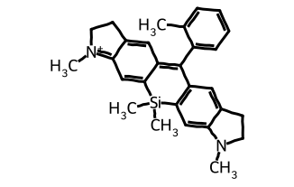 Cc1ccccc1C1=c2cc3c(cc2[Si](C)(C)c2cc4c(cc21)CCN4C)=[N+](C)CC3